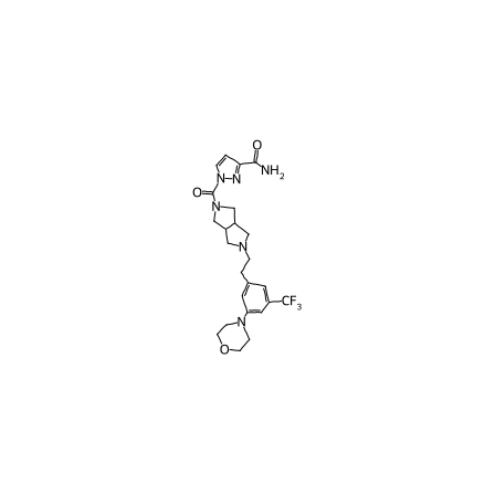 NC(=O)c1ccn(C(=O)N2CC3CN(CCc4cc(N5CCOCC5)cc(C(F)(F)F)c4)CC3C2)n1